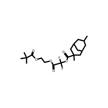 CC1CC2CC(C1)CC(C)(C(=O)OC(F)(F)C(=O)OCCOC(=O)C(C)(C)C)C2